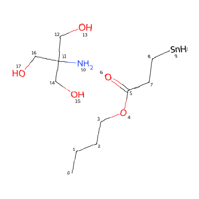 CCCCOC(=O)C[CH2][SnH].NC(CO)(CO)CO